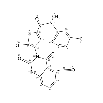 Cc1cccc(N(C)C(=O)c2cc(-n3c(=O)[nH]c4cccc(C=O)c4c3=O)c(Cl)s2)c1